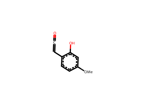 COc1ccc(C=C=O)c(O)c1